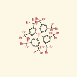 BrC(Br)(Br)c1cc([B-](c2cc(C(Br)(Br)Br)cc(C(Br)(Br)Br)c2)(c2cc(C(Br)(Br)Br)cc(C(Br)(Br)Br)c2)c2cc(C(Br)(Br)Br)cc(C(Br)(Br)Br)c2)cc(C(Br)(Br)Br)c1